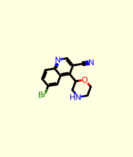 N#Cc1cnc2ccc(Br)cc2c1C1CNCCO1